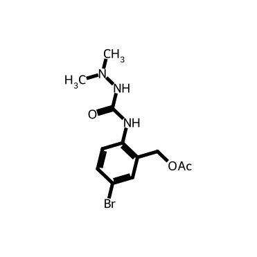 CC(=O)OCc1cc(Br)ccc1NC(=O)NN(C)C